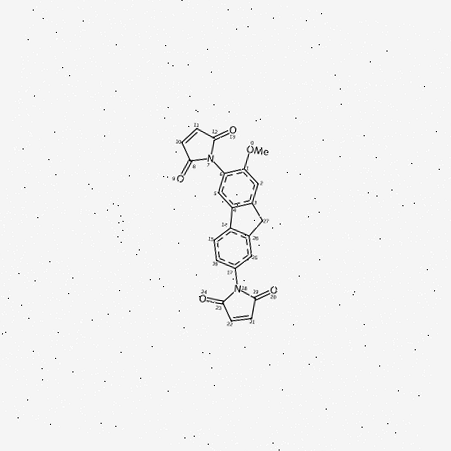 COc1cc2c(cc1N1C(=O)C=CC1=O)-c1ccc(N3C(=O)C=CC3=O)cc1C2